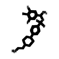 CCCC1CCC(c2ccc(C(F)(F)OC(C)c3cc(F)c(F)c(F)c3)cc2)CC1